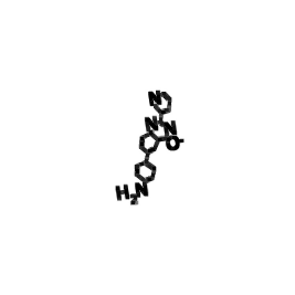 COc1nc(-c2cccnc2)nc2ccc(-c3ccc(N)cc3)cc12